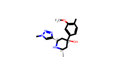 Cc1ccc([C@@]2(O)C[C@@H](c3cn(C)nn3)N[C@@H](C)C2)cc1OC(F)(F)F